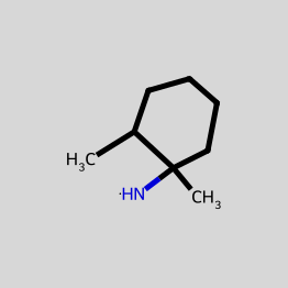 CC1CCCCC1(C)[NH]